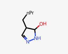 CCCCC1C=NNC1O